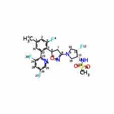 Cc1cc(F)c(C2CC(N3C[C@H](F)[C@H](NS(C)(=O)=O)C3)=NO2)c(-c2ncc(F)cc2F)c1